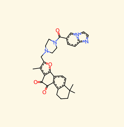 Cc1c(CN2CCN(C(=O)c3ccc4nccn4c3)CC2)oc2c1C(=O)C(=O)c1c-2ccc2c1CCCC2(C)C